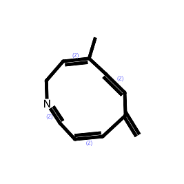 C=C1/C=C\C=N/C/C=C(C)\C=C/1